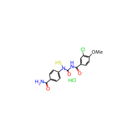 COc1ccc(C(=O)NC(=O)N(S)c2ccc(C(N)=O)cc2)cc1Cl.Cl